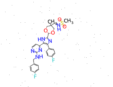 CC1(CNS(C)(=O)=O)COC(c2nc(-c3ccc(F)cc3)c(-c3ccnc(NCc4ccc(F)cc4)n3)[nH]2)OC1